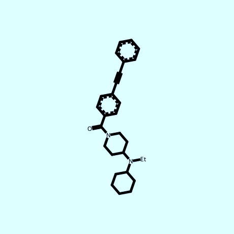 CCN(C1CCCCC1)C1CCN(C(=O)c2ccc(C#Cc3ccccc3)cc2)CC1